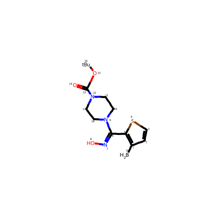 Bc1ccsc1/C(=N/O)N1CCN(C(=O)OC(C)(C)C)CC1